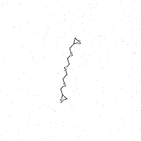 C(CSCC1CS1)SCCSCC1CS1